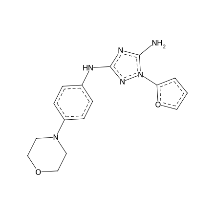 Nc1nc(Nc2ccc(N3CCOCC3)cc2)nn1-c1ccco1